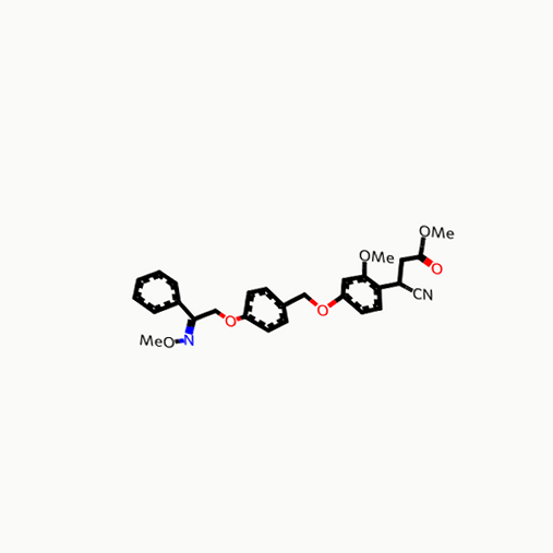 CON=C(COc1ccc(COc2ccc(C(C#N)CC(=O)OC)c(OC)c2)cc1)c1ccccc1